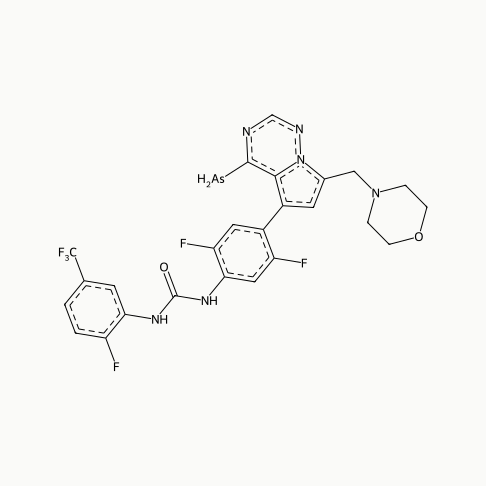 O=C(Nc1cc(C(F)(F)F)ccc1F)Nc1cc(F)c(-c2cc(CN3CCOCC3)n3ncnc([AsH2])c23)cc1F